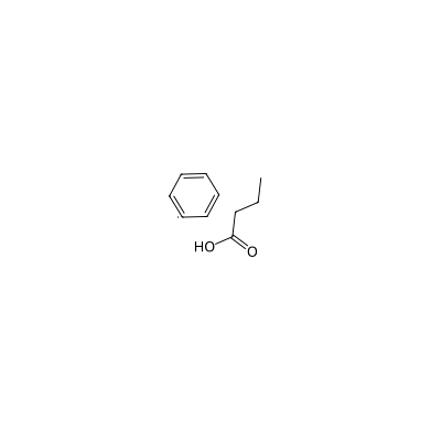 CCCC(=O)O.[c]1ccccc1